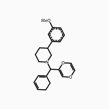 COc1cccc(C2CCCN(C(C3=CC=CCC3)C3=COC=CO3)C2)c1